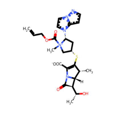 C=CCOC(=O)[N+]1(C)C[C@@H](SC2=C(C(=O)[O-])N3C(=O)[C@H]([C@@H](C)O)[C@H]3[C@H]2C)C[C@H]1n1ccn2nccc12